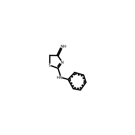 N=C1CSC(Nc2ccccc2)=N1